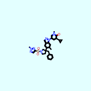 Cc1cc2c(cnn2-c2cc(C3CC3)c(=O)n(C)c2)cc1C1(Cc2ccccc2)CCN(S(=O)(=O)c2cnn(C)n2)C1